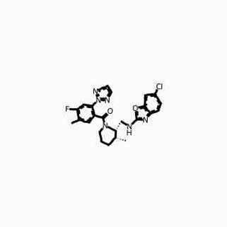 Cc1cc(C(=O)N2CCC[C@@H](C)[C@H]2CNc2nc3ccc(Cl)cc3o2)c(-n2nccn2)cc1F